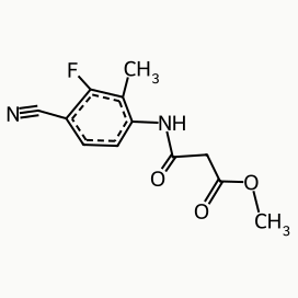 COC(=O)CC(=O)Nc1ccc(C#N)c(F)c1C